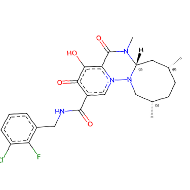 C[C@@H]1CC[C@H](C)CN2[C@@H](C1)N(C)C(=O)c1c(O)c(=O)c(C(=O)NCc3cccc(Cl)c3F)cn12